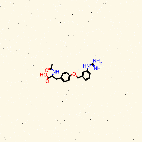 CC(=O)NC(Cc1ccc(OCc2cccc(NC(=N)N)c2)cc1)C(=O)O